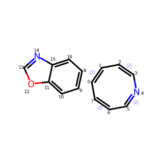 C1=C\C=C/N=C\C=C/1.c1ccc2ocnc2c1